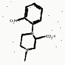 CN1CCN(c2ccccc2[N+](=O)[O-])C(C(=O)O)C1